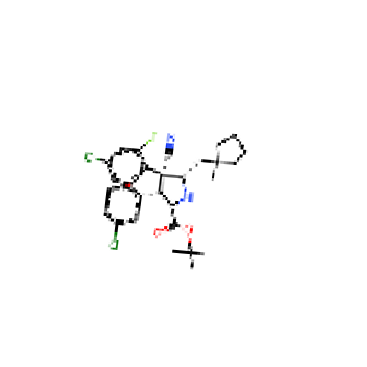 CC1(C[C@@H]2N[C@@H](C(=O)OC(C)(C)C)[C@H](c3cccc(Cl)c3)[C@@]2(C#N)c2ccc(Cl)cc2F)CCCC1